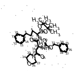 CC1(C)OB(C(CCCc2ccccc2)NC(=O)C(CC(=O)N2CCOCC2)NC(=O)OCc2ccccc2)OC1(C)C